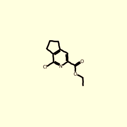 CCOC(=O)c1cc2c(c(Cl)n1)CCC2